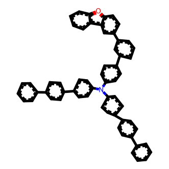 c1ccc(-c2ccc(-c3ccc(N(c4ccc(-c5ccc(-c6ccccc6)cc5)cc4)c4ccc(-c5cccc(-c6ccc7oc8ccccc8c7c6)c5)cc4)cc3)cc2)cc1